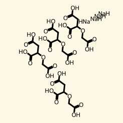 O=C(O)COC(CC(=O)O)C(=O)O.O=C(O)COC(CC(=O)O)C(=O)O.O=C(O)COC(CC(=O)O)C(=O)O.O=C(O)COC(CC(=O)O)C(=O)O.[NaH].[NaH].[NaH].[NaH]